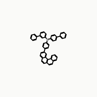 c1ccc(-c2ccc(N(c3ccc(-c4ccc5ccc6ccc7ccccc7c6c5c4)cc3)c3cccc(-c4ccccc4)c3)cc2)cc1